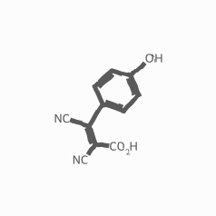 N#CC(C(=O)O)=C(C#N)c1ccc(O)cc1